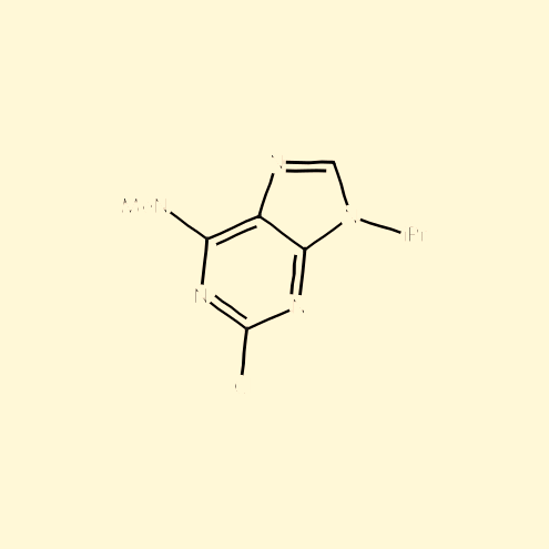 CNc1nc(Cl)nc2c1ncn2C(C)C